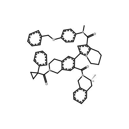 C[C@@H]1Cc2ccccc2CN1C(=O)c1cc2c(cc1-c1cc(C(=O)N(C)c3ccc(OCc4ccccc4)cc3)c3n1CCCC3)CCN(C(=O)C1(c3ccccc3)CC1)C2